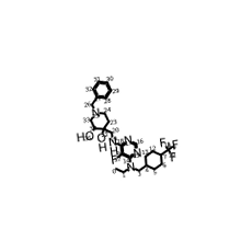 CCN(CC1CCC(C(F)(F)F)CC1)c1ncnc(NCC2(O)CCN(Cc3ccccc3)CC2O)c1F